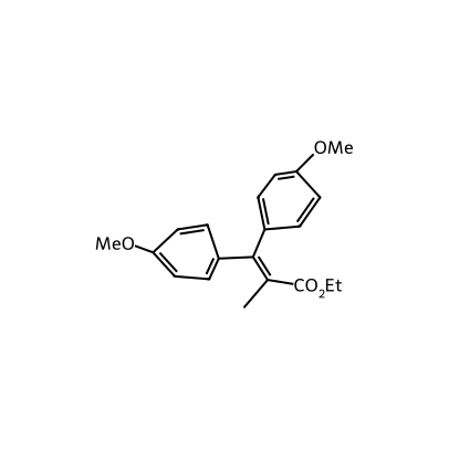 CCOC(=O)C(C)=C(c1ccc(OC)cc1)c1ccc(OC)cc1